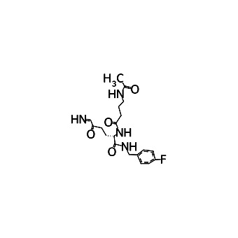 CC(=O)NCCCC(=O)N[C@@H](CCC(=O)C=N)C(=O)NCc1ccc(F)cc1